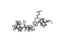 CC(C)CCCC[C@@H]1C[C@@H](COP(=O)(S)O[C@H](F)[C@@H](S)n2cnc3c(=O)[nH]c(N)nc32)O[C@H]1n1cnc2c(N)ncnc21